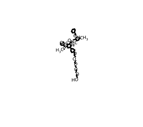 CCN(c1cc(-c2ccc(OCCOCCOCCOCCOCCO)cc2)cc(C(=O)NCc2c(C)cc(C)nc2OCc2ccccc2)c1C)C1CCOCC1